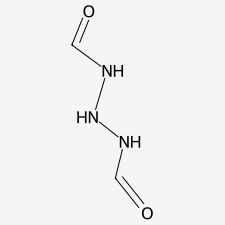 O=CNNNC=O